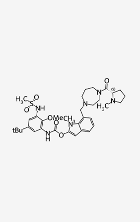 COc1c(NC(=O)Oc2cc3cccc(CN4CCCN(C(=O)[C@@H]5CCCN5C)CC4)c3n2C)cc(C(C)(C)C)cc1NS(C)(=O)=O